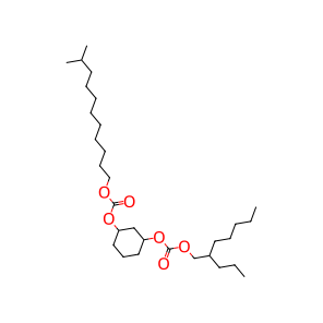 CCCCCC(CCC)COC(=O)OC1CCCC(OC(=O)OCCCCCCCCCC(C)C)C1